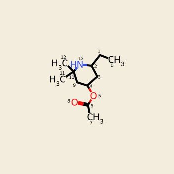 CCC1CC(OC(C)=O)CC(C)(C)N1